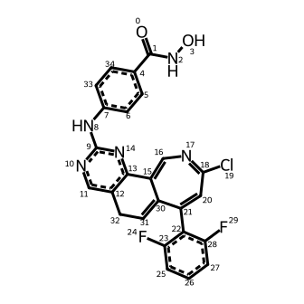 O=C(NO)c1ccc(Nc2ncc3c(n2)C2=CN=C(Cl)C=C(c4c(F)cccc4F)C2=CC3)cc1